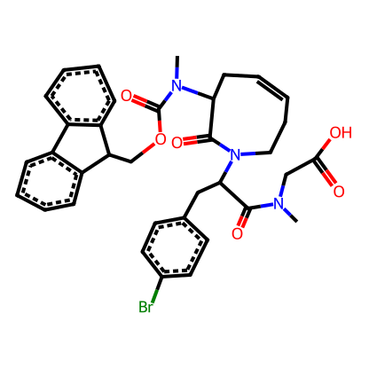 CN(CC(=O)O)C(=O)C(Cc1ccc(Br)cc1)N1CCC=CCC(N(C)C(=O)OCC2c3ccccc3-c3ccccc32)C1=O